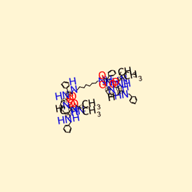 CC[C@H](NC)C(=O)N[C@@H]1C(=O)N2[C@@H](CC[C@@H]1CNCc1ccccc1)CC[C@H]2C(=O)N[C@H](C(=O)NCCCCCCCCNC(=O)[C@@H](NC(=O)[C@@H]1CC[C@@H]2CC[C@H](CNCc3ccccc3)[C@H](NC(=O)[C@H](CC)NC)C(=O)N21)c1ccccc1)c1ccccc1